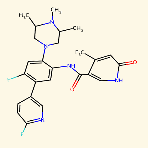 CC1CN(c2cc(F)c(-c3ccc(F)nc3)cc2NC(=O)c2c[nH]c(=O)cc2C(F)(F)F)CC(C)N1C